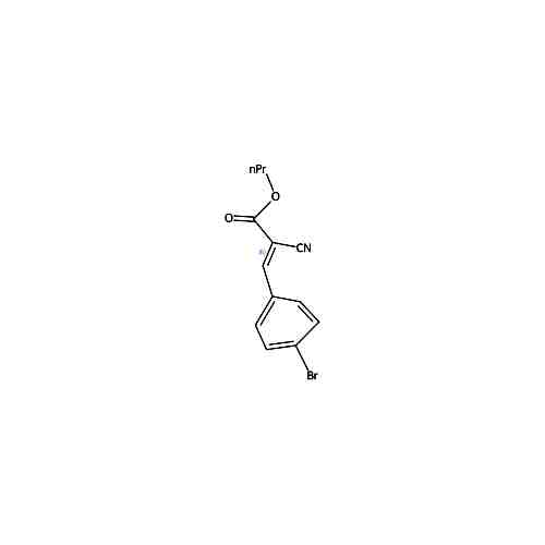 CCCOC(=O)/C(C#N)=C/c1ccc(Br)cc1